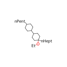 CCCCCCCC1(OCC)CCC(C2CCC(CCCCC)CC2)CC1